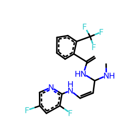 C=C(NC(/C=C\Nc1ncc(F)cc1F)NC)c1ccccc1C(F)(F)F